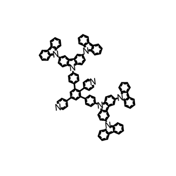 c1ccc2c(c1)c1ccccc1n2-c1ccc2c(c1)c1cc(-n3c4ccccc4c4ccccc43)ccc1n2-c1ccc(-c2cc(-c3ccncc3)cc(-c3ccc(-n4c5ccc(-n6c7ccccc7c7ccccc76)cc5c5cc(-n6c7ccccc7c7ccccc76)ccc54)cc3)c2-c2ccncc2)cc1